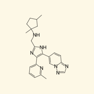 Cc1cccc(-c2nc(CNC3(C)CCC(C)C3)[nH]c2-c2ccc3ncnn3c2)n1